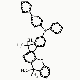 CC1(C)c2ccccc2Oc2c1ccc1c2-c2ccc(N(c3ccccc3)c3ccc(-c4ccccc4)cc3)cc2C1(C)C